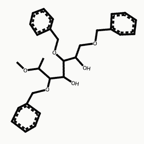 COC(C)C(OCc1ccccc1)C(O)C(OCc1ccccc1)C(O)COCc1ccccc1